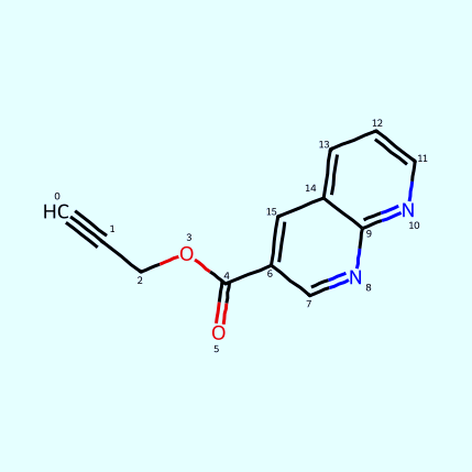 C#CCOC(=O)c1cnc2ncccc2c1